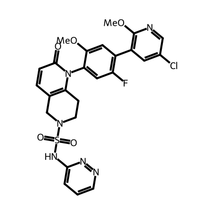 COc1cc(-c2cc(Cl)cnc2OC)c(F)cc1-n1c2c(ccc1=O)CN(S(=O)(=O)Nc1cccnn1)CC2